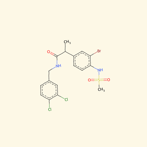 CC(C(=O)NCc1ccc(Cl)c(Cl)c1)c1ccc(NS(C)(=O)=O)c(Br)c1